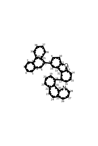 c1ccc2c(c1)cc(-c1ccc3oc4cccc(-c5cccc6ccc7cccnc7c56)c4c3c1)c1ccccc12